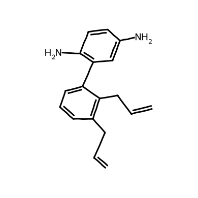 C=CCc1cccc(-c2cc(N)ccc2N)c1CC=C